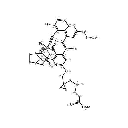 COCOc1cc(-c2ncc3c(N4CC5CCC(C4)N5C(=O)OC(C)(C)C)nc(OCC4(CN(C)CCC(=O)OC)CC4)nc3c2F)c2c(C#C[Si](C(C)C)(C(C)C)C(C)C)c(F)ccc2c1